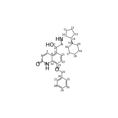 O=c1ccc2c(C(O)CN[C@@H]3CCC[C@H]3C3CCCCC3)ccc(OCc3ccccc3)c2[nH]1